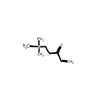 [CH2][N+](C)(C)CCC(=O)C=C